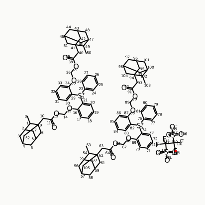 CC1C2CC3CC(C2)CC1(CC(=O)OCOc1ccccc1[S+](c1ccccc1)c1ccccc1OCOC(=O)CC12CC4CC(CC(C4)C1C)C2)C3.CC1C2CC3CC(C2)CC1(CC(=O)OCOc1ccccc1[S+](c1ccccc1)c1ccccc1OCOC(=O)CC12CC4CC(CC(C4)C1C)C2)C3.O=S(=O)([O-])C(F)(F)C(F)(F)S(=O)(=O)[O-]